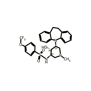 CN1C[C@@H](NS(=O)(=O)c2ccc(OC(F)(F)F)cc2)[C@H](O)[C@@H](N2c3ccccc3CCc3ccccc32)C1